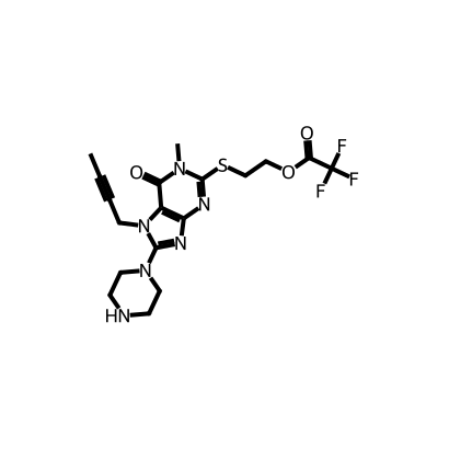 CC#CCn1c(N2CCNCC2)nc2nc(SCCOC(=O)C(F)(F)F)n(C)c(=O)c21